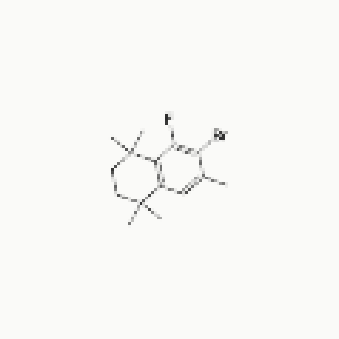 Cc1cc2c(c(F)c1Br)C(C)(C)CCC2(C)C